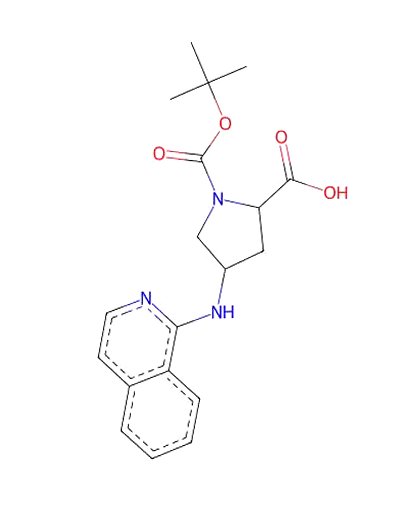 CC(C)(C)OC(=O)N1CC(Nc2nccc3ccccc23)CC1C(=O)O